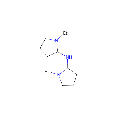 CCN1CCCC1NC1CCCN1CC